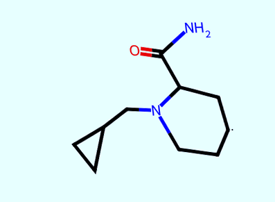 NC(=O)C1C[CH]CCN1CC1CC1